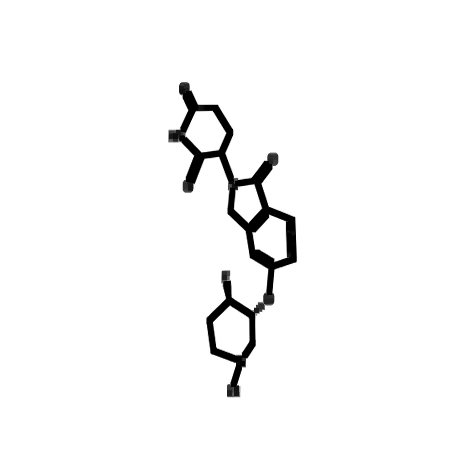 CCN1CC[C@@H](F)[C@H](Oc2ccc3c(c2)CN(C2CCC(=O)NC2=O)C3=O)C1